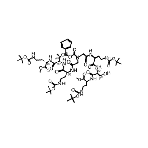 COC(=O)C(CCNC(=O)OC(C)(C)C)NC(=O)[C@@H](NC(=O)C(CCNC(=O)OC(C)(C)C)NC(=O)CN(CC(=O)N[C@@H](CCNC(=O)OC(C)(C)C)C(=O)N[C@H](C(=O)N[C@@H](CCNC(=O)OC(C)(C)C)C(=O)OC)[C@@H](C)O)C(=O)OCc1ccccc1)[C@@H](C)O